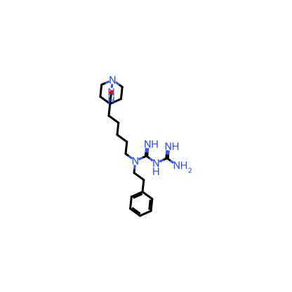 N=C(N)NC(=N)N(CCCCCC12CCN(CC1)NC2)CCc1ccccc1